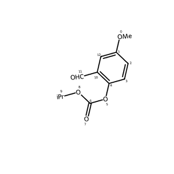 COc1ccc(OC(=O)OC(C)C)c(C=O)c1